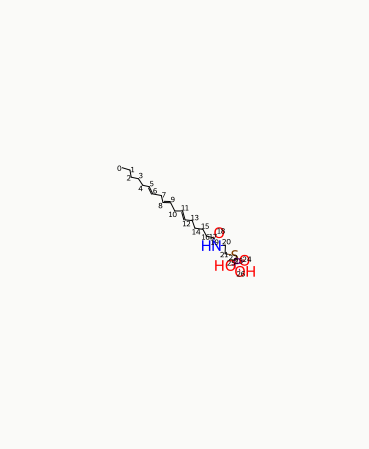 CCCCCC=CCC=CCC=CCCCCC(=O)NCCSP(=O)(O)O